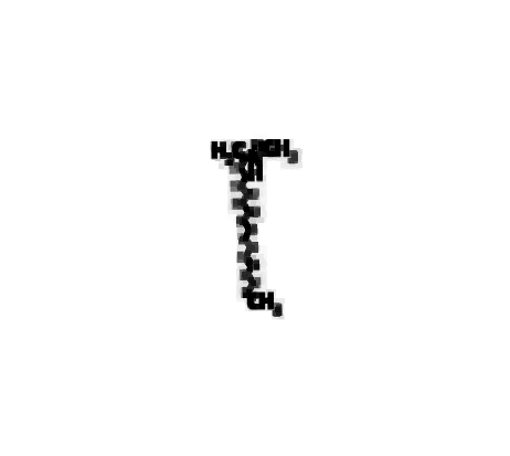 CCCCC=CCCCCCCCCCCC(C)NCC